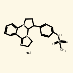 CS(=O)(=O)Nc1ccc(C2CCN3c4ccccc4C4=NCCN4C23)cc1.Cl